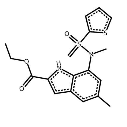 C=S(=O)(c1cccs1)N(C)c1cc(C)cc2cc(C(=O)OCC)[nH]c12